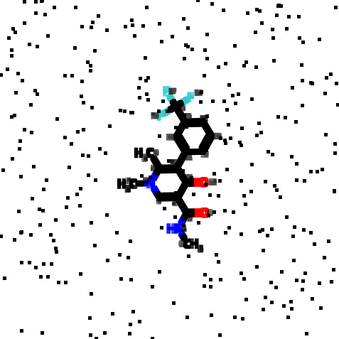 CNC(=O)c1cn(C)c(C)c(-c2cccc(C(F)(F)F)c2)c1=O